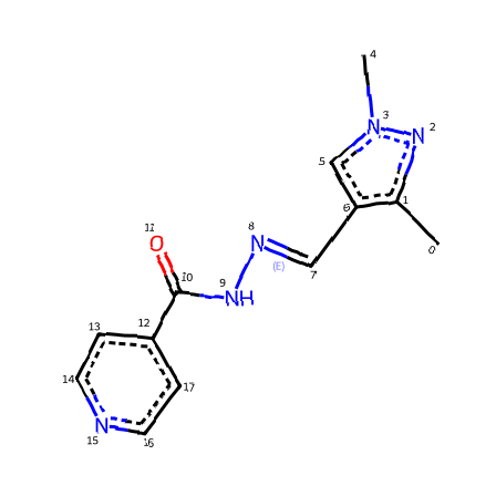 Cc1nn(C)cc1/C=N/NC(=O)c1ccncc1